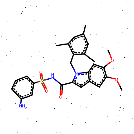 COc1cc2cc(C(=O)NS(=O)(=O)c3cccc(N)c3)n(Cc3c(C)cc(C)cc3C)c2cc1OC